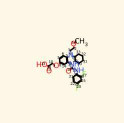 COCCN(c1ccc(OCC(=O)O)cc1NC(=O)Nc1ccc(F)cc1F)C1CCCCC1